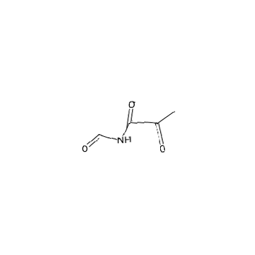 CC(=O)C(=O)NC=O